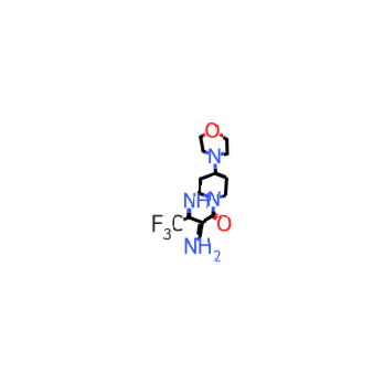 N=C(/C(=C\N)C(=O)N1CCC(N2CCOCC2)CC1)C(F)(F)F